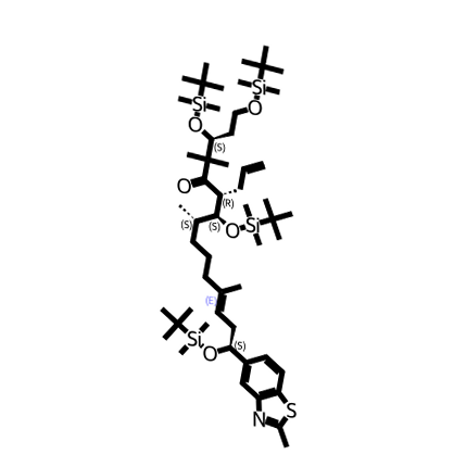 C=CC[C@@H](C(=O)C(C)(C)[C@H](CCO[Si](C)(C)C(C)(C)C)O[Si](C)(C)C(C)(C)C)[C@@H](O[Si](C)(C)C(C)(C)C)[C@@H](C)CCC/C(C)=C/C[C@H](O[Si](C)(C)C(C)(C)C)c1ccc2sc(C)nc2c1